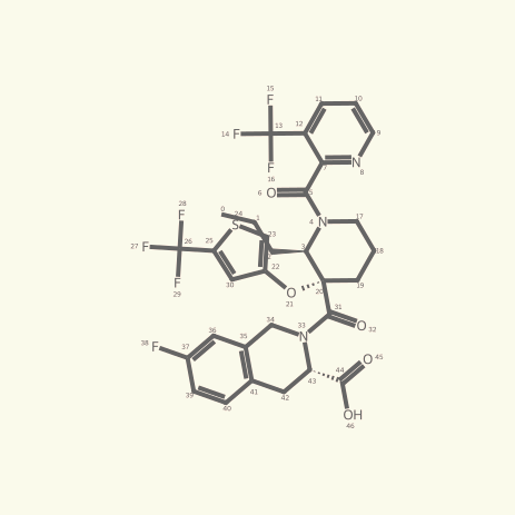 CCC[C@H]1N(C(=O)c2ncccc2C(F)(F)F)CCC[C@@]1(Oc1csc(C(F)(F)F)c1)C(=O)N1Cc2cc(F)ccc2C[C@H]1C(=O)O